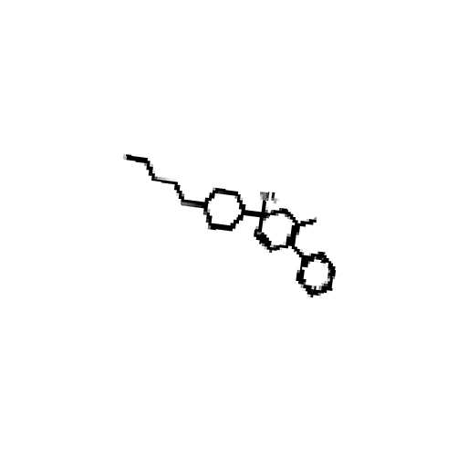 CCCCCC1CCC(C2(N)C=CC(c3ccccc3)=C(C)C2)CC1